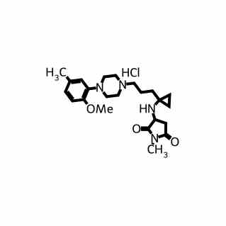 COc1ccc(C)cc1N1CCN(CCCC2(NC3CC(=O)N(C)C3=O)CC2)CC1.Cl